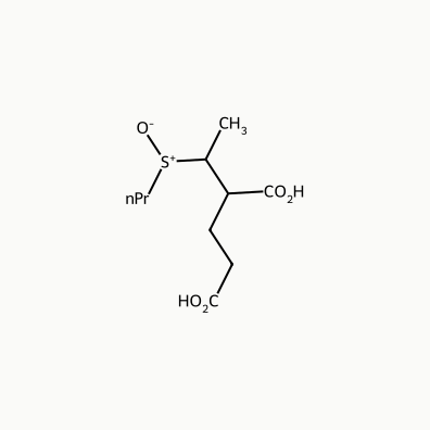 CCC[S+]([O-])C(C)C(CCC(=O)O)C(=O)O